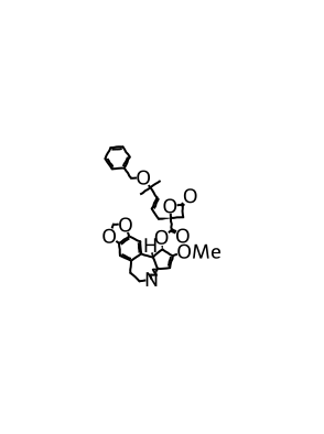 COC1=C[C@]23CCCN2CCc2cc4c(cc2[C@@H]3[C@@H]1OC(=O)[C@@]1(C/C=C/C(C)(C)OCc2ccccc2)CC(=O)O1)OCO4